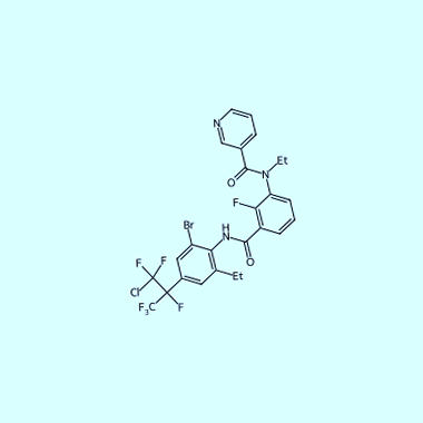 CCc1cc(C(F)(C(F)(F)F)C(F)(F)Cl)cc(Br)c1NC(=O)c1cccc(N(CC)C(=O)c2cccnc2)c1F